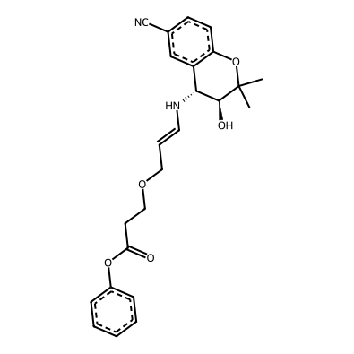 CC1(C)Oc2ccc(C#N)cc2[C@@H](NC=CCOCCC(=O)Oc2ccccc2)[C@@H]1O